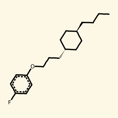 CCCC[C@H]1CC[C@H](CCCOc2ccc(F)cc2)CC1